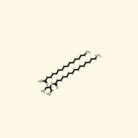 CCCCCCCCCCCCCCCC(=O)O.CCCCCCCCCCCCCCCC(=O)OC(CO)CO